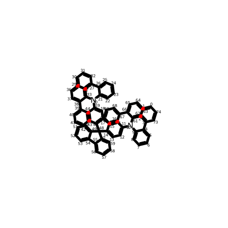 c1ccc(-c2ccccc2N(c2ccc3c(c2)-c2cc(N(c4ccccc4-c4ccccc4)c4ccccc4-c4ccccc4)ccc2C32c3ccccc3-c3ccccc32)c2ccccc2-c2ccccc2)cc1